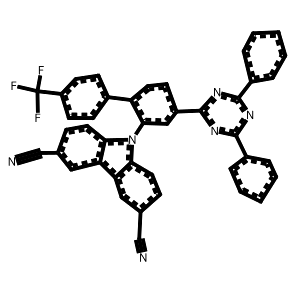 N#Cc1ccc2c(c1)c1cc(C#N)ccc1n2-c1cc(-c2nc(-c3ccccc3)nc(-c3ccccc3)n2)ccc1-c1ccc(C(F)(F)F)cc1